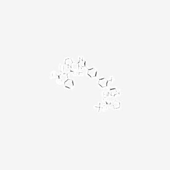 COC(=O)N[C@@H](C(=O)N1CCC[C@H]1c1ncc(-c2ccc(-c3ccc(-c4cnc([C@@H]5CCCN5C(=O)OC(C)(C)C)[nH]4)c(F)c3)cc2)[nH]1)c1ccccc1